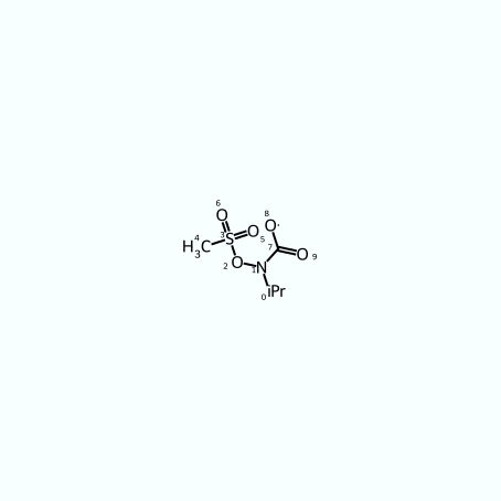 CC(C)N(OS(C)(=O)=O)C([O])=O